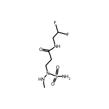 CNN(CCC(=O)NCC(F)F)S(N)(=O)=O